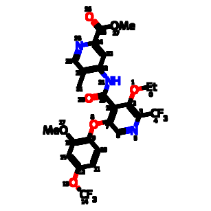 CCOc1c(C(F)(F)F)ncc(Oc2ccc(OC(F)(F)F)cc2OC)c1C(=O)Nc1cc(C(=O)OC)ncc1C